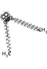 CCCCCCCCCCCCCCCCCCOC(=O)c1cccc2cccc(C(=O)OCCCCCCCCCCCCCCCCCC)c12